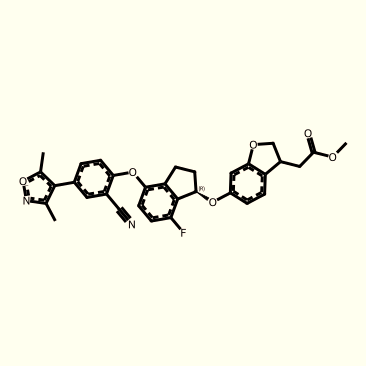 COC(=O)CC1COc2cc(O[C@@H]3CCc4c(Oc5ccc(-c6c(C)noc6C)cc5C#N)ccc(F)c43)ccc21